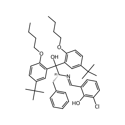 CCCCOc1ccc(C(C)(C)C)cc1C(O)(c1cc(C(C)(C)C)ccc1OCCCC)[C@@H](Cc1ccccc1)N=Cc1cccc(Cl)c1O